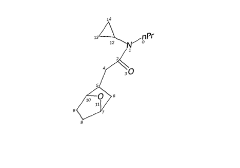 CCCN(C(=O)CC1CC2CCC1O2)C1CC1